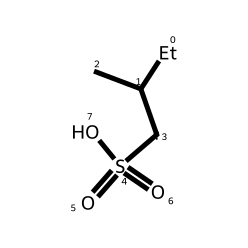 CCC(C)[CH]S(=O)(=O)O